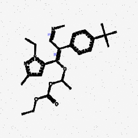 CCOC(=O)OC(C)O/C(=C(/C=N\C)c1ccc(C(C)(C)C)cc1)c1cc(C)nn1CC